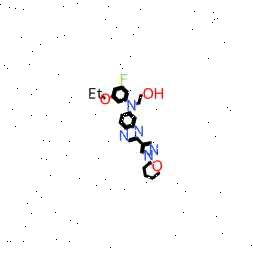 CCOc1cc(F)cc(N(CCO)c2ccc3ncc(-c4cnn(C5CCCCO5)c4)nc3c2)c1